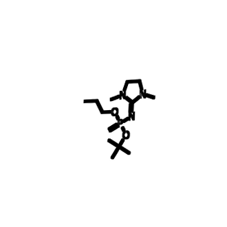 C=P(N=C1N(C)CCN1C)(OCCC)OC(C)(C)C